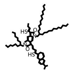 CC/C=C(\S)C1=c2cc3c(cc2N(CC(CCCCCCCCCCCC)CCCCCCCCCCCC)C1=O)=C(/C=C/C=C(\S)C1=Cc2ccc(C(C)C)cc2C=CC1)C(=O)N(CC(CCCCCC)CCCCCC)C3